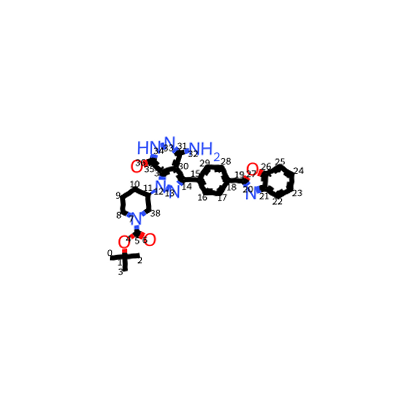 CC(C)(C)OC(=O)N1CCC[C@@H](n2nc(-c3ccc(-c4nc5ccccc5o4)cc3)c3c(N)n[nH]c(=O)c32)C1